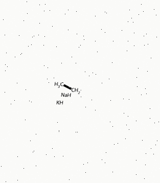 [CH2]C.[KH].[NaH]